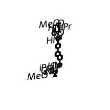 CC[C@@H]1CC[C@@H](c2ncc(-c3ccc(-c4ccc5cc(-c6ccc([C@@H]7CC8(CC8)CN7C(=O)[C@@H](NC(=O)OC)C(C)C)[nH]6)ccc5c4)cc3)[nH]2)N1C(=O)[C@@H](NC(=O)OC)C(C)C